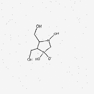 [O-][N+]1(O)CN(O)C(CO)C1CO